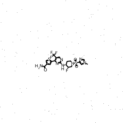 Cn1cnc(S(=O)(=O)N2CC[C@H](Nc3ncc(C(F)(F)F)c(-c4cc(C(N)=O)cs4)n3)[C@H](F)C2)c1